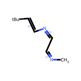 C\N=C/C=N\C=C\C(C)(C)C